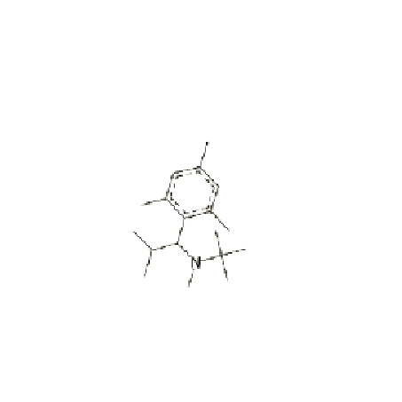 Cc1cc(C)c(C(C(C)C)N(C)C(C)(C)C)c(C)c1